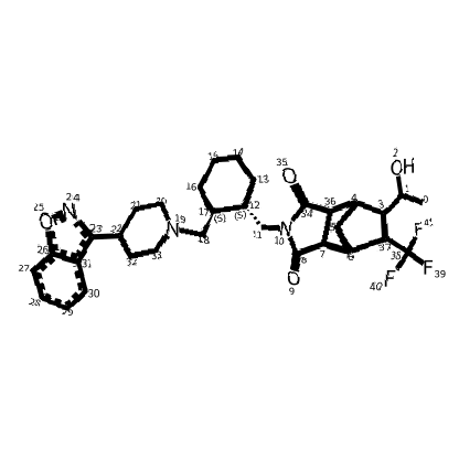 CC(O)C1C2CC(C3C(=O)N(C[C@H]4CCCC[C@@H]4CN4CCC(c5noc6ccccc56)CC4)C(=O)C23)C1C(F)(F)F